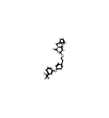 O=c1nc(OCCc2ccc(Oc3cccc(C(F)(F)F)c3)cc2)cc2n1CC13CC(CN21)C3